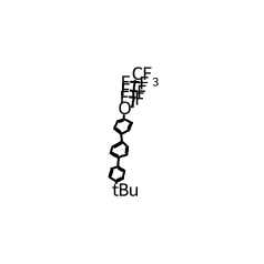 CC(C)(C)c1ccc(-c2ccc(-c3ccc(OCC(F)(F)C(F)(F)C(F)(F)C(F)(F)F)cc3)cc2)cc1